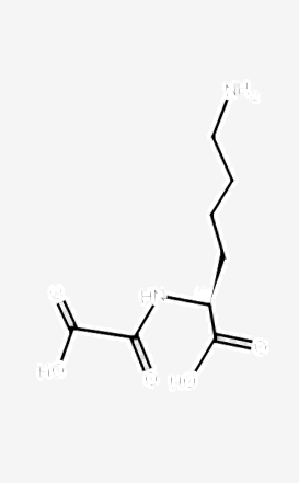 NCCCC[C@H](NC(=O)C(=O)O)C(=O)O